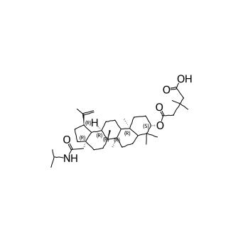 C=C(C)[C@@H]1CC[C@]2(CC(=O)NC(C)C)CC[C@]3(C)[C@H](CCC4[C@@]5(C)CC[C@H](OC(=O)CC(C)(C)CC(=O)O)C(C)(C)C5CC[C@]43C)C12